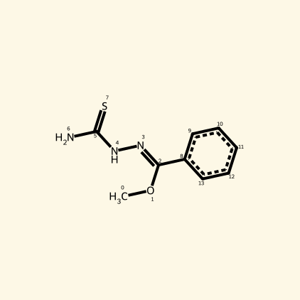 COC(=NNC(N)=S)c1ccccc1